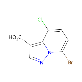 O=C(O)c1cnn2c(Br)ccc(Cl)c12